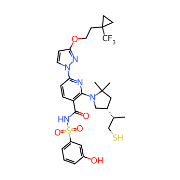 CC(CS)[C@@H]1CN(c2nc(-n3ccc(OCCC4(C(F)(F)F)CC4)n3)ccc2C(=O)NS(=O)(=O)c2cccc(O)c2)C(C)(C)C1